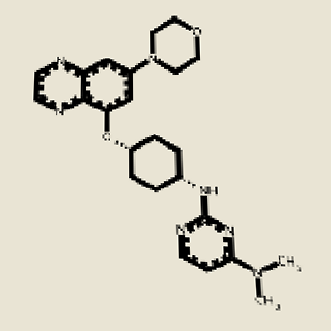 CN(C)c1ccnc(N[C@H]2CC[C@@H](Oc3cc(N4CCOCC4)cc4nccnc34)CC2)n1